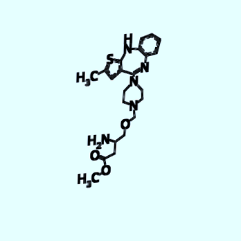 COC(=O)CC(N)COCN1CCN(C2=Nc3ccccc3Nc3sc(C)cc32)CC1